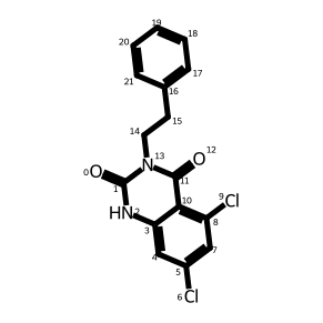 O=c1[nH]c2cc(Cl)cc(Cl)c2c(=O)n1CCc1ccccc1